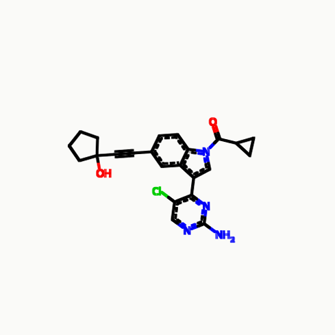 Nc1ncc(Cl)c(-c2cn(C(=O)C3CC3)c3ccc(C#CC4(O)CCCC4)cc23)n1